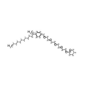 CCCCCCCCCCCC(C)c1ccc(COCCOCCOCCOCCOC2CCCCO2)cc1